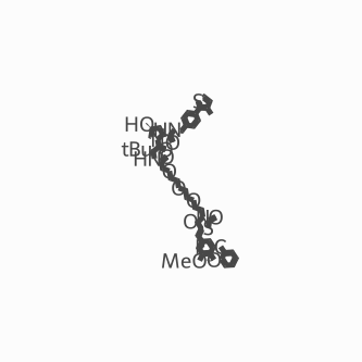 COc1cc(/C=C2\SC(=O)N(CCOCCOCCOCC(=O)N[C@H](C(=O)N3C[C@H](O)C[C@H]3C(=O)NCc3ccc(-c4sccc4C)cc3)C(C)(C)C)C2=O)ccc1Oc1ccccc1C(F)(F)F